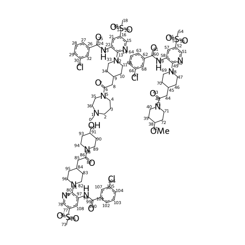 CN1CCCN(C(=O)CC2CCN(c3ncc(S(C)(=O)=O)cc3NC(=O)c3cccc(Cl)c3)CC2)CC1.COC1CCN(C(=O)CC2CCN(c3ncc(S(C)(=O)=O)cc3NC(=O)c3cccc(Cl)c3)CC2)CC1.CS(=O)(=O)c1cnc(N2CCC(CC(=O)N3CCC(O)CC3)CC2)c(NC(=O)c2cccc(Cl)c2)c1